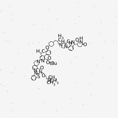 Cc1c(OC2CCC(C[C@H](C)CN3CCN(c4cccc5c(C6CCC(=O)NC6=O)nn(C)c45)CC3)CC2)cccc1-c1ccc(N2CCc3ccnc(C(=O)N(COCC[Si](C)(C)C)c4nc5ccccc5s4)c3C2)nc1C(=O)OC(C)(C)C